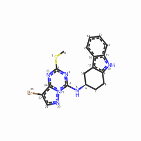 CSc1nc(N[C@@H]2CCc3[nH]c4ccccc4c3C2)n2ncc(Br)c2n1